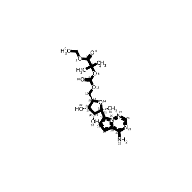 CCOC(=O)C(C)(C)OC(=O)OC[C@H]1O[C@@](C)(c2ccc3c(N)ncnn23)[C@H](O)[C@@H]1O